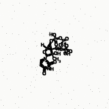 C[C@]1(O)[C@H](n2ccc(=O)[nH]c2=O)O[C@@H]2C(OP(=O)(O)OP(=O)(O)OP(=O)(O)O)[C@@]21O